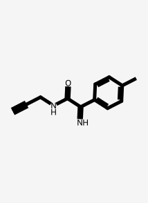 C#CCNC(=O)C(=N)c1ccc(C)cc1